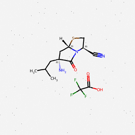 CC(C)C[C@@]1(N)C[C@@H]2SC[C@@H](C#N)N2C1=O.O=C(O)C(F)(F)F